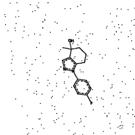 CC1(O)CCCc2c1cnn2-c1ccc(F)cc1